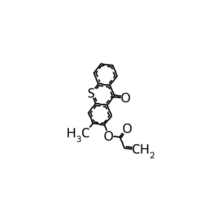 C=CC(=O)Oc1cc2c(=O)c3ccccc3sc2cc1C